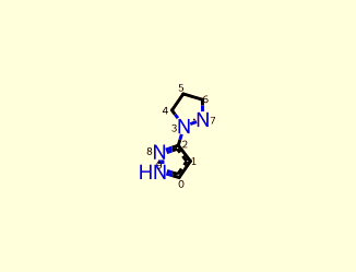 c1cc(N2CCC[N]2)n[nH]1